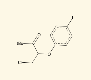 CC(C)(C)C(=O)C(CCl)Oc1ccc(F)cc1